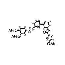 COC1=CCC(C(=O)Nc2cccc(-c3cccc(OCCc4ccc(OC)c(OC)c4)n3)c2)S1